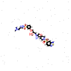 CN(C)CCCNS(=O)(=O)c1cccc(OC[C@@H](O)CNC2COC3(CCN(S(=O)(=O)c4ccc5nsnc5c4)CC3)C2)c1